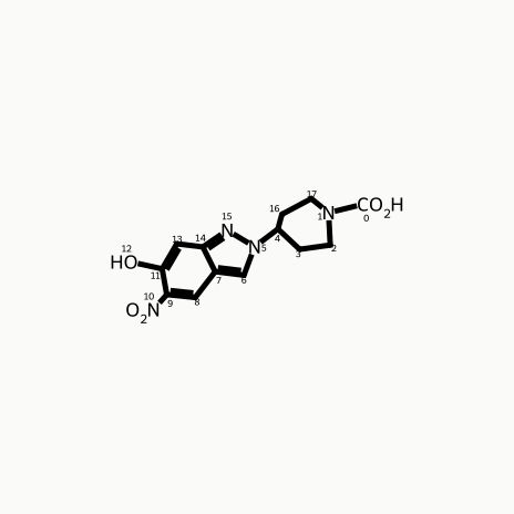 O=C(O)N1CCC(n2cc3cc([N+](=O)[O-])c(O)cc3n2)CC1